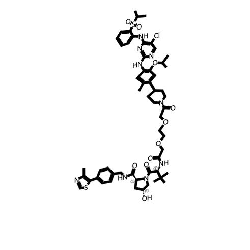 Cc1cc(Nc2ncc(Cl)c(Nc3ccccc3S(=O)(=O)C(C)C)n2)c(OC(C)C)cc1C1CCN(C(=O)COCCOCC(=O)N[C@H](C(=O)N2C[C@H](O)C[C@H]2C(=O)NCc2ccc(-c3scnc3C)cc2)C(C)(C)C)CC1